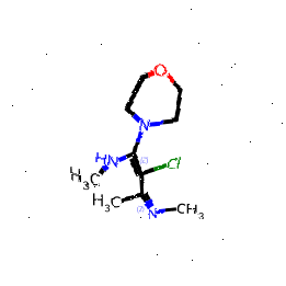 C/N=C(C)\C(Cl)=C(/NC)N1CCOCC1